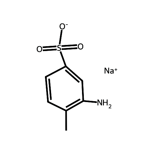 Cc1ccc(S(=O)(=O)[O-])cc1N.[Na+]